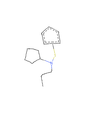 CCCN(Sc1ccccc1)C1CCCC1